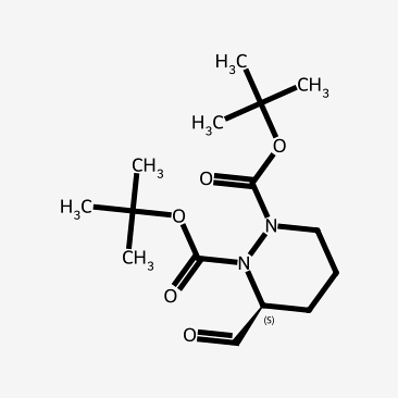 CC(C)(C)OC(=O)N1CCC[C@@H](C=O)N1C(=O)OC(C)(C)C